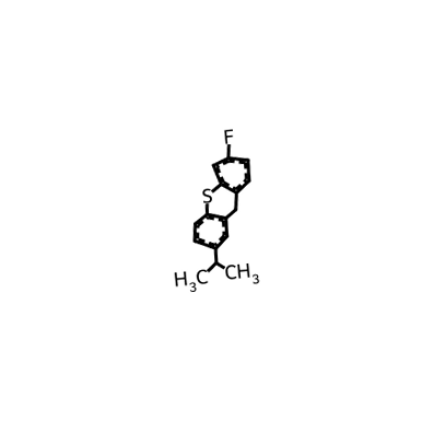 CC(C)c1ccc2c(c1)Cc1ccc(F)cc1S2